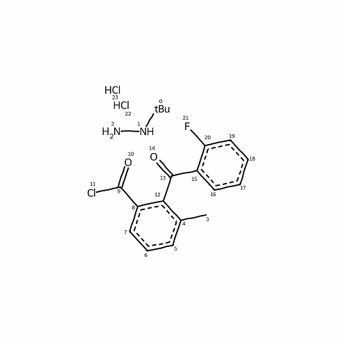 CC(C)(C)NN.Cc1cccc(C(=O)Cl)c1C(=O)c1ccccc1F.Cl.Cl